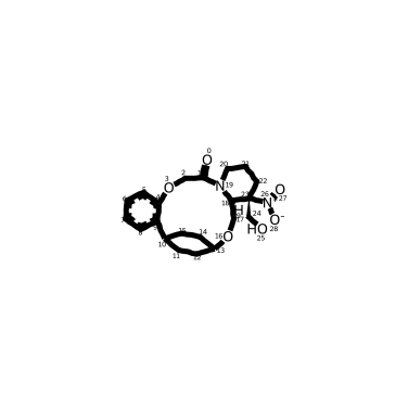 O=C1COc2ccccc2C2CCC(CC2)OC[C@@H]2N1CCC[C@]2(CO)[N+](=O)[O-]